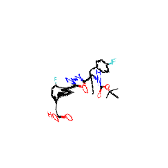 CC(C)(C)OC(=O)NC(C)(Cc1ccc(F)cc1)c1nnc(-c2cc(C(=O)O)ccc2F)o1